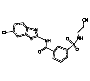 N#CCCNS(=O)(=O)c1cccc(C(=O)Nc2nc3ccc(Cl)cc3s2)c1